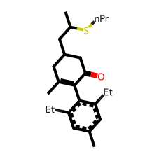 CCCSC(C)CC1CC(=O)C(c2c(CC)cc(C)cc2CC)=C(C)C1